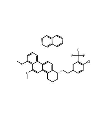 COc1cccc2c1c(OC)cc1c3c(ccc12)[C@H](CCc1ccc(Cl)c(C(F)(F)F)c1)CCC3.c1ccc2cnccc2c1